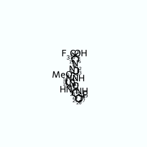 COc1nc(N2CCC(O)(C(F)(F)F)CC2)ccc1Nc1nccc(Nc2cc3cccc(F)c3[nH]c2=O)n1